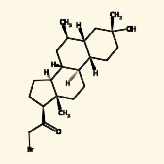 C[C@@H]1C[C@@H]2[C@H](CC[C@]3(C)[C@@H](C(=O)CBr)CC[C@@H]23)[C@H]2CC[C@@](C)(O)C[C@H]21